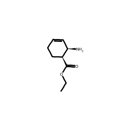 CCOC(=O)[C@H]1CCC=C[C@H]1N